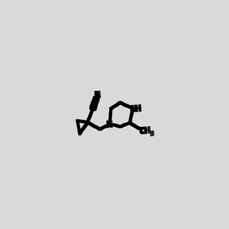 CC1CN(CC2(C#N)CC2)CCN1